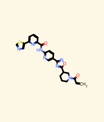 C=CC(=O)N1CCCC(c2nc(-c3ccc(NC(=O)c4cccc(-c5cncs5)n4)nc3)no2)C1